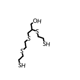 OCC(CSCCSCCS)SCCS